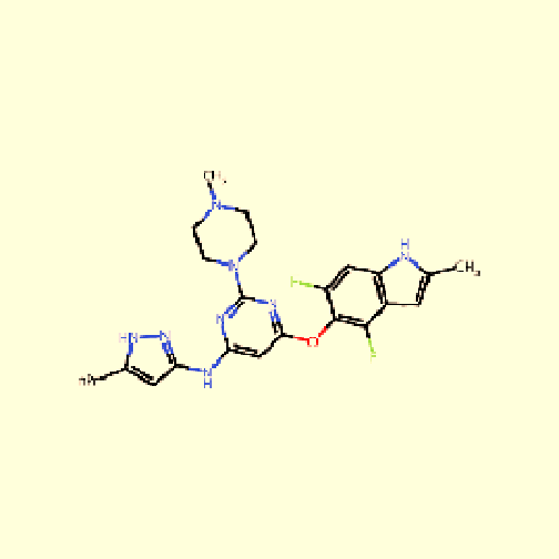 CCCc1cc(Nc2cc(Oc3c(F)cc4[nH]c(C)cc4c3F)nc(N3CCN(C)CC3)n2)n[nH]1